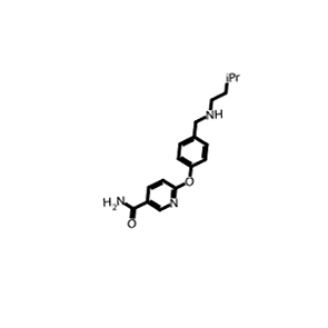 CC(C)CCNCc1ccc(Oc2ccc(C(N)=O)cn2)cc1